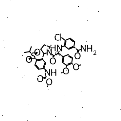 COC(=O)Nc1ccc(S(=O)(=O)C(C)C)c(C2CCCN2C(=O)[C@H](Nc2cc(C(N)=O)ccc2Cl)c2ccc(OC)c(OC)c2)c1